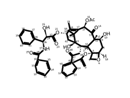 C=C(C)O[C@@]12CO[C@@H]1C[C@H](O)[C@@]1(C)C(=O)[C@H](OC(C)=O)C3=C(C)[C@@H](OC(=O)[C@H](O)[C@@H](NC(=O)c4ccccc4)c4ccccc4)C[C@@](O)([C@@H](CC(=O)c4ccccc4)[C@H]21)C3(C)C